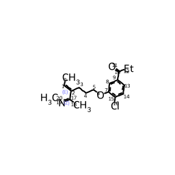 C/C=C(CCCOc1cc(C(=O)CC)ccc1Cl)/C(C)=N\C